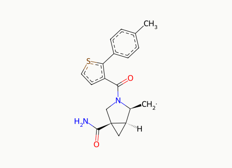 [CH2][C@H]1[C@H]2C[C@]2(C(N)=O)CN1C(=O)c1ccsc1-c1ccc(C)cc1